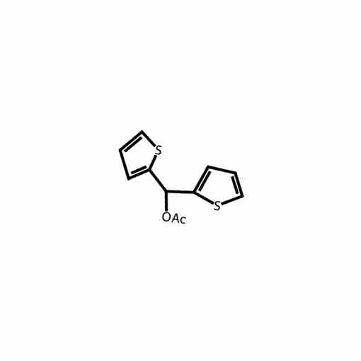 CC(=O)OC(c1cccs1)c1cccs1